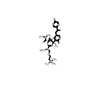 CN(C)C(=O)[C@]12C[C@H]1[C@@](C)(c1cc(/C=C(\F)c3cnc(Cl)cn3)cnc1F)N=C(N(COCC[Si](C)(C)C)C(=O)O)S2